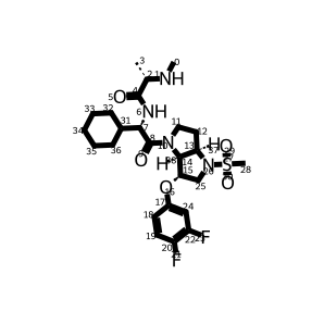 CN[C@@H](C)C(=O)N[C@H](C(=O)N1CC[C@@H]2[C@H]1[C@@H](Oc1ccc(F)c(F)c1)CN2S(C)(=O)=O)C1CCCCC1